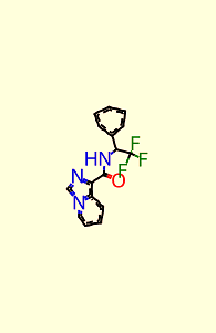 O=C(NC(c1ccccc1)C(F)(F)F)c1ncn2ccccc12